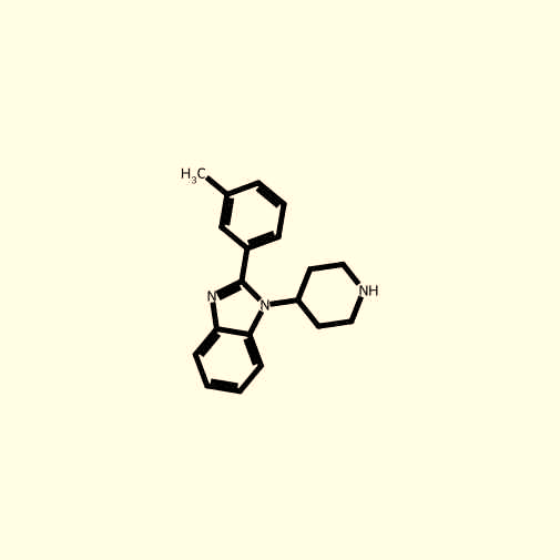 Cc1cccc(-c2nc3ccccc3n2C2CCNCC2)c1